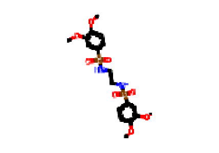 COc1ccc(S(=O)(=O)NCCNS(=O)(=O)c2ccc(OC)c(OC)c2)cc1OC